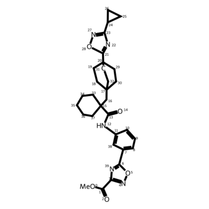 COC(=O)c1noc(-c2cccc(NC(=O)C3(CC45CCC(c6nc(C7CC7)no6)(CC4)CC5)CCCCC3)c2)n1